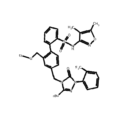 CCCCc1nn(-c2ccccc2C(F)(F)F)c(=O)n1Cc1ccc(-c2ccccc2S(=O)(=O)Nc2noc(C)c2C)c(COCC)c1